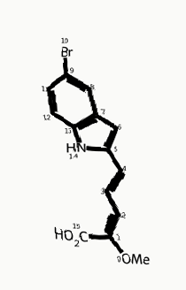 COC(=CC=Cc1cc2cc(Br)ccc2[nH]1)C(=O)O